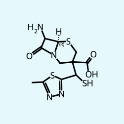 Cc1nnc(C(S)C2(C(=O)O)CS[C@@H]3C(N)C(=O)N3C2)s1